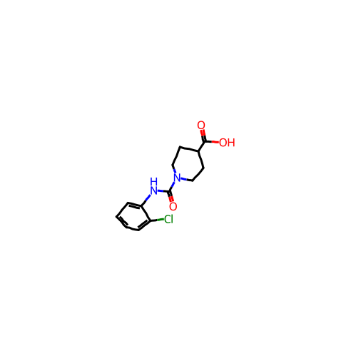 O=C(O)C1CCN(C(=O)Nc2ccccc2Cl)CC1